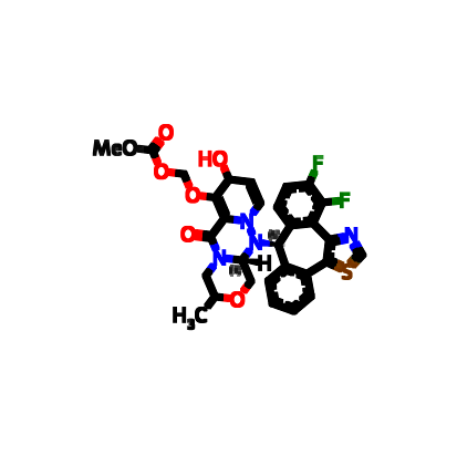 COC(=O)OCOC1=C2C(=O)N3CC(C)OC[C@H]3N([C@@H]3c4ccccc4-c4scnc4-c4c3ccc(F)c4F)N2C=CC1O